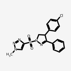 Cn1cc(S(=O)(=O)N2CC(c3ccc(Cl)cc3)C(c3ccccc3)=N2)nn1